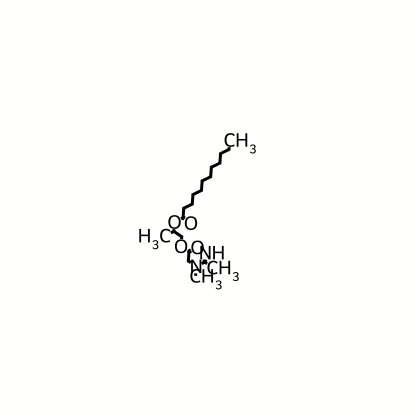 CCCCCCCCCCCC(=O)OC(C)COC(=O)CN(C)C(C)=N